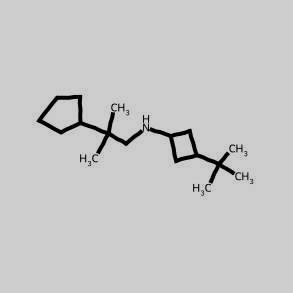 CC(C)(C)C1CC(NCC(C)(C)C2CCCC2)C1